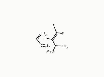 C=CC(=O)OCC.COC(C)C(F)=C(F)F